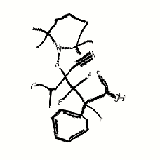 CC1(C)CCCC(C)(C)N1OC(C#N)(C(F)F)C(F)(F)C(F)(C(=O)O)c1ccccc1